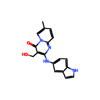 Cc1ccc2nc(Nc3ccc4[nH]ccc4c3)c(CO)c(=O)n2c1